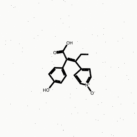 CCC(=C(C(=O)O)c1ccc(O)cc1)c1cc[n+]([O-])cc1